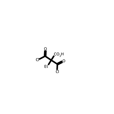 CCC(C(=O)O)(C(=O)Cl)C(=O)Cl